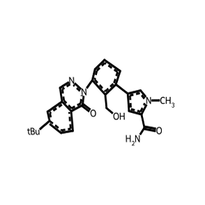 Cn1cc(-c2cccc(-n3ncc4cc(C(C)(C)C)ccc4c3=O)c2CO)cc1C(N)=O